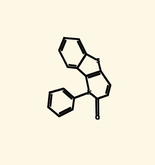 O=c1ccc2sc3ccccc3c2n1-c1ccccc1